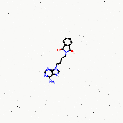 Nc1ncnc2c1ncn2C=CCCN1C(=O)c2ccccc2C1=O